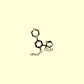 CCCCCOc1ccc(N2CCOCC2)cc1C1(C(=O)OCC)CSC=N1